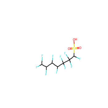 O=S(=O)(O)C(F)C(F)(F)C(F)(F)C(F)C(F)C(F)C(F)F